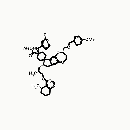 COC(=O)C1(Nc2cccc(Cl)c2)CCC2(CC1)c1cc3c(cc1C[C@@H]2C[C@@H](C)COc1ccnc2c1[C@H](C)CCC2)OCC[C@H](COCc1ccc(OC)cc1)O3